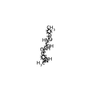 Cc1ccc(OCC(=O)NCC[C@H](O)CNC(=O)COc2ccc3c(C)n[nH]c3c2)cc1